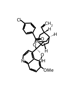 C=C[C@H]1CN2CC[C@H]1C[C@@H]2[C@](OO)(OC(=O)c1ccc(Cl)cc1)c1ccnc2ccc(OC)cc12